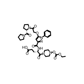 CCOC(=O)ON1CCN(C(=O)[C@H](CCC(=O)O)NC(=O)c2cc(OCC(=O)N3CCC[C@H]3C(=O)N3CCCC3)n(-c3ccccc3)n2)CC1